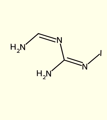 N/C=N\C(N)=N/I